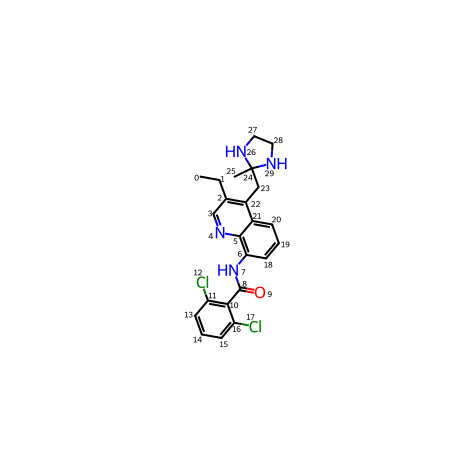 CCc1cnc2c(NC(=O)c3c(Cl)cccc3Cl)cccc2c1CC1(C)NCCN1